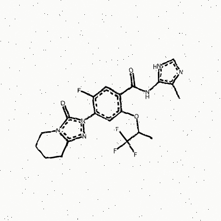 Cc1nc[nH]c1NC(=O)c1cc(F)c(-n2nc3n(c2=O)CCCC3)cc1OC(C)C(F)(F)F